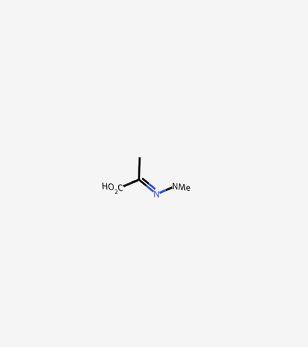 CN/N=C(\C)C(=O)O